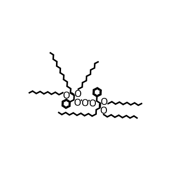 CCCCCCCCCCCCC(OCCCCCCCCCC)=C(OCCCCCCCCCC)C(OCOCOC(C(OCCCCCCCCCC)=C(CCCCCCCCCCCC)OCCCCCCCCCC)c1ccccc1)c1ccccc1